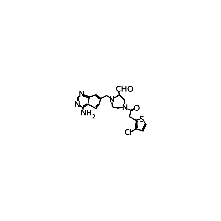 Nc1ncnc2cc(CN3CCN(C(=O)Cc4sccc4Cl)CC3C=O)ccc12